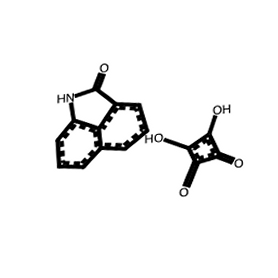 O=C1Nc2cccc3cccc1c23.O=c1c(O)c(O)c1=O